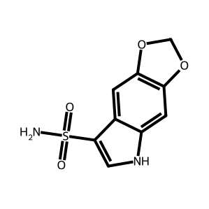 NS(=O)(=O)c1c[nH]c2cc3c(cc12)OCO3